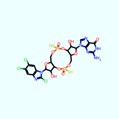 Nc1nc2c(ncn2C2OC3COP(=O)(S)OC4C(COP(=O)(S)OC3C2O)OC(n2c(Cl)nc3cc(Cl)c(Cl)cc32)C4O)c(=O)[nH]1